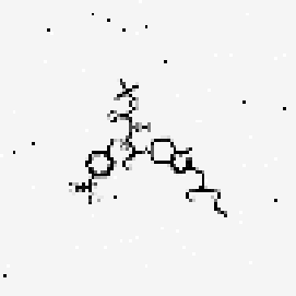 CCOC(=O)Cc1cc2c(s1)CCN(C(=O)[C@H](Cc1ccc([N+](=O)[O-])cc1)NC(=O)OC(C)(C)C)C2